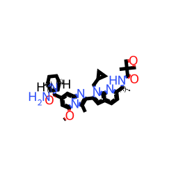 COc1cc(C(=O)N2[C@H]3CC[C@@H]2[C@H](N)C3)cc2nc(-c3cc4ccc([C@@H](C)NC(=O)C5(C)COC5)nc4n3CC3CC3)c(C)n12